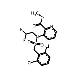 COC(=O)c1ncccc1N(CC(F)F)S(=O)(=O)Cc1c(Cl)cccc1Cl